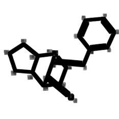 O=C1C(=Cc2ccccc2)N2CCC1C1CCCC12